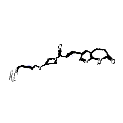 C/C=C/COC1CN(C(=O)/C=C/c2cnc3c(c2)CCC(=O)N3)C1